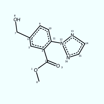 COC(=O)c1cc(CO)ccc1-n1nccn1